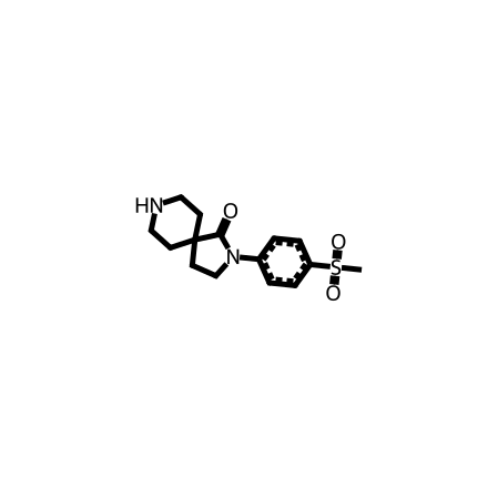 CS(=O)(=O)c1ccc(N2CCC3(CCNCC3)C2=O)cc1